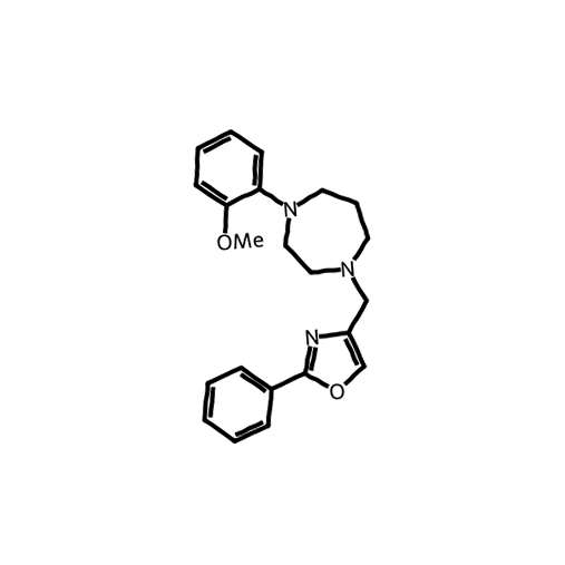 COc1ccccc1N1CCCN(Cc2coc(-c3ccccc3)n2)CC1